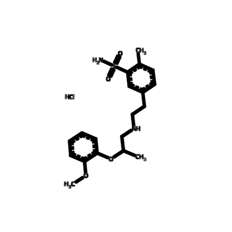 COc1ccccc1OC(C)CNCCc1ccc(C)c(S(N)(=O)=O)c1.Cl